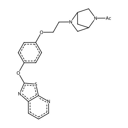 CC(=O)N1CC2CC1CN2CCOc1ccc(Oc2nc3cccnc3s2)cc1